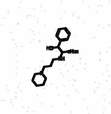 CCCCCCC(NCCCN1CCCCC1)C(O)c1ccccc1